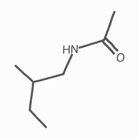 CCC(C)CNC(C)=O